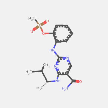 CC(C)[C@@H](C)Nc1nc(Nc2ccccc2OS(C)(=O)=O)ncc1C(N)=O